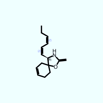 C=C1N[C@H](/C=C\C=C/CC)C2(CC=CCC2)O1